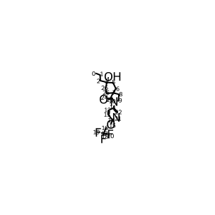 CCCC1(O)CCC2(CCN(c3ccc(OCC(F)(F)F)nc3)C2=O)CC1